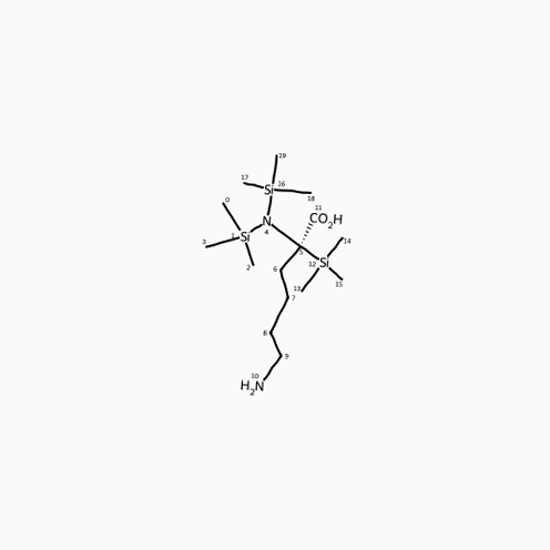 C[Si](C)(C)N([C@@](CCCCN)(C(=O)O)[Si](C)(C)C)[Si](C)(C)C